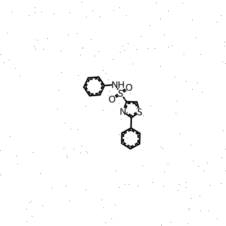 O=S(=O)(Nc1ccccc1)c1csc(-c2ccccc2)n1